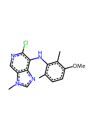 COc1ccc(C)c(Nc2c(Cl)ncc3c2ncn3C)c1C